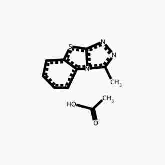 CC(=O)O.Cc1nnc2sc3ccccc3n12